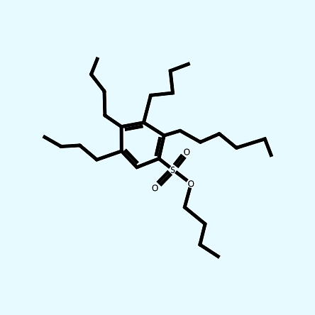 CCCCCCc1c(S(=O)(=O)OCCCC)cc(CCCC)c(CCCC)c1CCCC